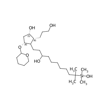 CC(C)(CCCCCCC(O)CCC1[C@@H](CCCO)[C@@H](O)C[C@H]1OC1CCCCO1)[Si](C)(C)O